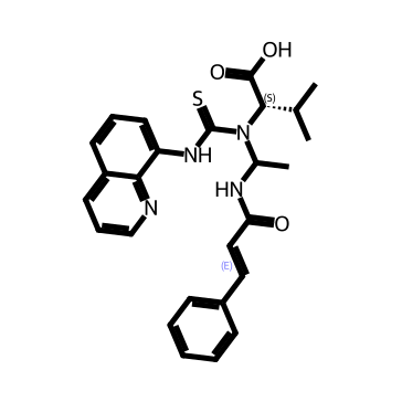 CC(C)[C@@H](C(=O)O)N(C(=S)Nc1cccc2cccnc12)C(C)NC(=O)/C=C/c1ccccc1